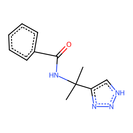 CC(C)(NC(=O)c1ccccc1)c1c[nH]nn1